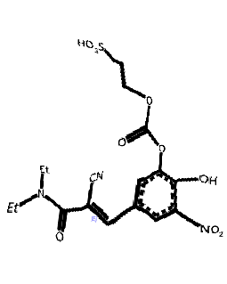 CCN(CC)C(=O)/C(C#N)=C/c1cc(OC(=O)OCCS(=O)(=O)O)c(O)c([N+](=O)[O-])c1